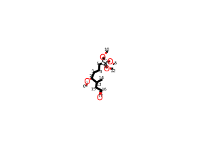 COC(CCC[Si](OC)(OC)OC)C(C)CC=O